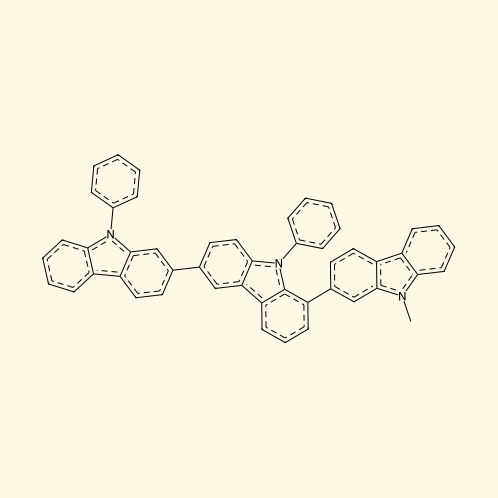 Cn1c2ccccc2c2ccc(-c3cccc4c5cc(-c6ccc7c8ccccc8n(-c8ccccc8)c7c6)ccc5n(-c5ccccc5)c34)cc21